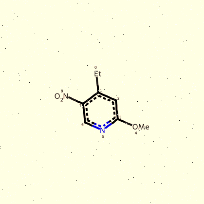 CCc1cc(OC)ncc1[N+](=O)[O-]